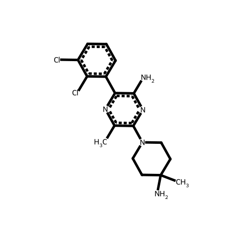 Cc1nc(-c2cccc(Cl)c2Cl)c(N)nc1N1CCC(C)(N)CC1